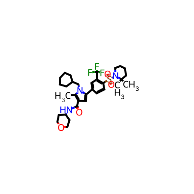 Cc1c(C(=O)NC2CCOCC2)cc(-c2ccc(S(=O)(=O)N3CCCCC3(C)C)c(C(F)(F)F)c2)n1CC1CCCCC1